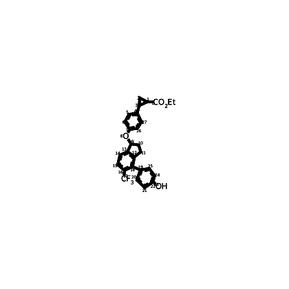 CCOC(=O)C1CC1c1ccc(OC2CCc3c2ccc(C(F)(F)F)c3-c2ccc(O)cc2)cc1